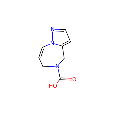 O=C(O)N1CC=Cn2nccc2C1